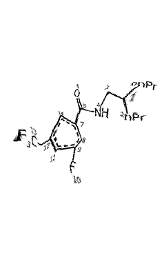 CCCC(CCC)CNC(=O)c1cc(F)cc(C(F)(F)F)c1